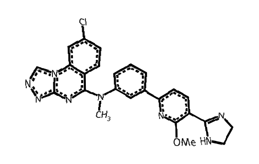 COc1nc(-c2cccc(N(C)c3nc4nncn4c4cc(Cl)ccc34)c2)ccc1C1=NCCN1